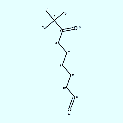 CC(C)(C)C(=O)CCCCCC=O